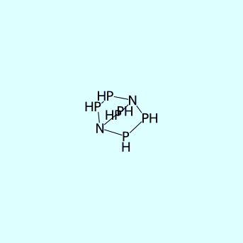 P1PN2PPN1PP2